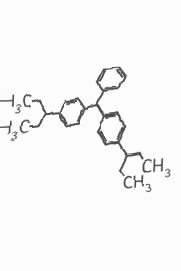 CCC(CC)c1ccc(C(c2ccccc2)c2ccc(C(CC)CC)cc2)cc1